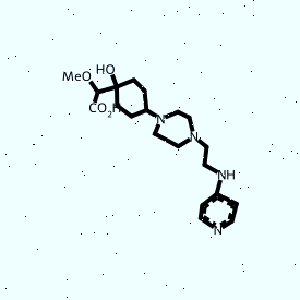 COC(C(=O)O)C1(O)CCC(N2CCN(CCNc3ccncc3)CC2)CC1